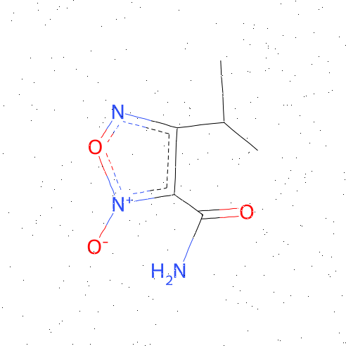 CC(C)c1no[n+]([O-])c1C(N)=O